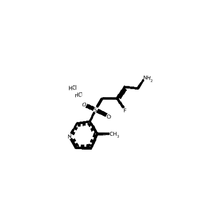 Cc1ccncc1S(=O)(=O)C/C(F)=C/CN.Cl.Cl